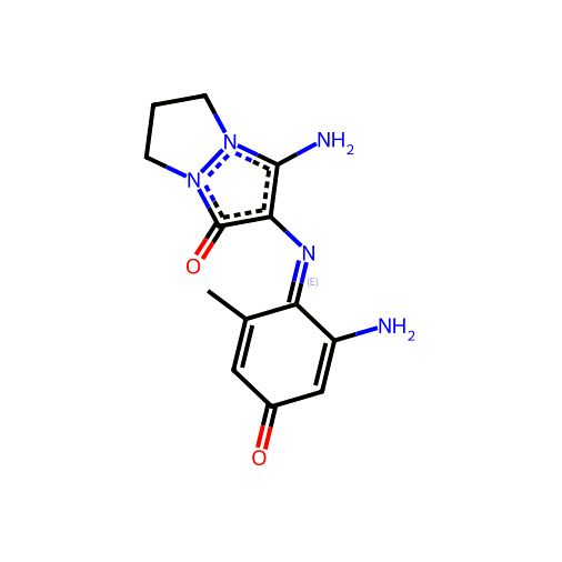 CC1=CC(=O)C=C(N)/C1=N/c1c(N)n2n(c1=O)CCC2